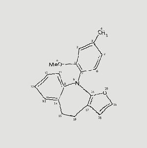 COc1cc(C)ccc1N1c2ccccc2CCc2ccoc21